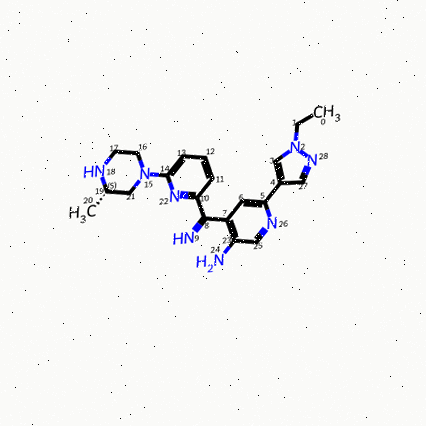 CCn1cc(-c2cc(C(=N)c3cccc(N4CCN[C@@H](C)C4)n3)c(N)cn2)cn1